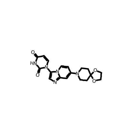 O=c1ccn(-c2cnc3cc(N4CCC5(CC4)OCCO5)ccn23)c(=O)[nH]1